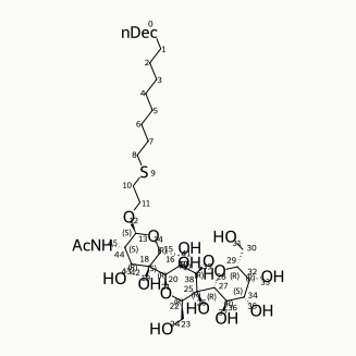 CCCCCCCCCCCCCCCCCCSCCO[C@H]1O[C@H](CO)[C@](O)([C@@H]2O[C@H](CO)[C@@](O)([C@@H]3O[C@H](CO)[C@H](O)[C@H](O)[C@H]3O)[C@H](O)[C@H]2O)[C@H](O)[C@@H]1NC(C)=O